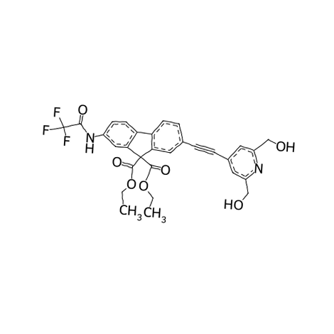 CCOC(=O)C1(C(=O)OCC)c2cc(C#Cc3cc(CO)nc(CO)c3)ccc2-c2ccc(NC(=O)C(F)(F)F)cc21